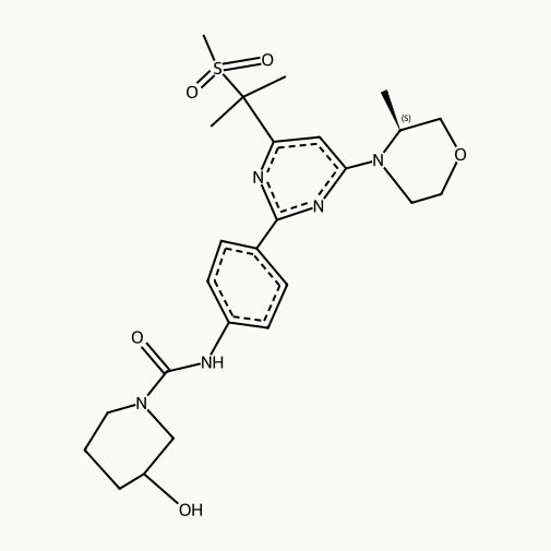 C[C@H]1COCCN1c1cc(C(C)(C)S(C)(=O)=O)nc(-c2ccc(NC(=O)N3CCCC(O)C3)cc2)n1